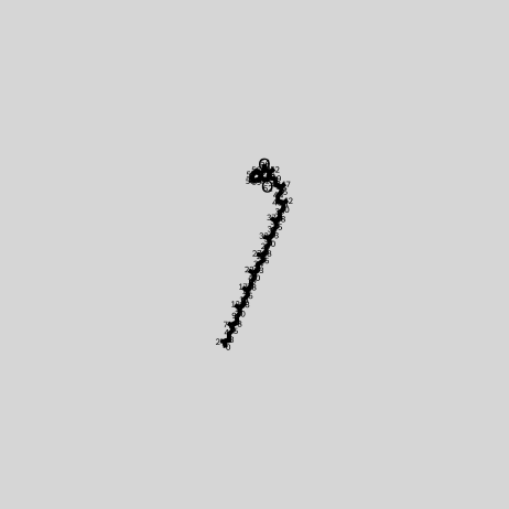 CC(C)=CCC/C(C)=C/CC/C(C)=C/CC/C(C)=C/CC/C(C)=C/CC/C(C)=C/CC/C(C)=C/CC/C(C)=C/CC/C(C)=C/CC/C(C)=C/CC1=C(C)C(=O)c2ccccc2C1=O